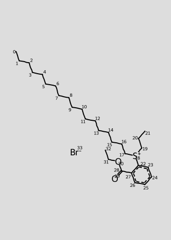 CCCCCCCCCCCCCCCCCC[S+](CCC)c1ccccc1C(=O)OCC.[Br-]